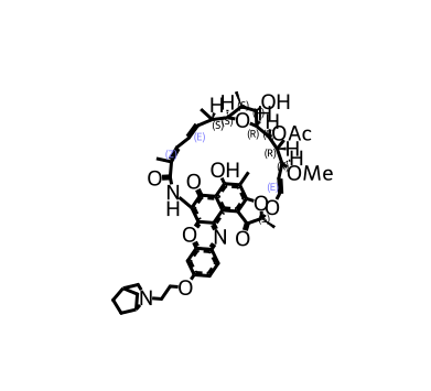 CO[C@H]1/C=C/O[C@@]2(C)Oc3c(C)c(O)c4c(=O)c(c5oc6cc(OCCN7CC8CCC7C8)ccc6nc-5c4c3C2=O)NC(=O)/C(C)=C\C=C\[C@H](C)[C@@H]2O[C@H]([C@H](O)[C@@H]2C)[C@H](OC(C)=O)[C@@H]1C